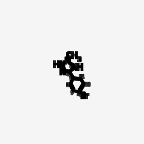 CN1NN=C(c2ccc(Br)cc2)N1